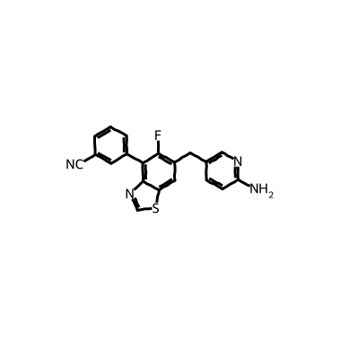 N#Cc1cccc(-c2c(F)c(Cc3ccc(N)nc3)cc3scnc23)c1